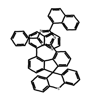 c1ccc(-c2nc(-c3cccc4c3-c3c(-c5cccc6cccnc56)cccc3C43c4ccccc4Sc4ccccc43)nc(-c3cccc4ccccc34)n2)cc1